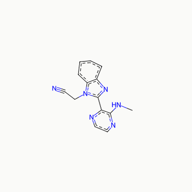 CNc1nccnc1-c1nc2ccccc2n1CC#N